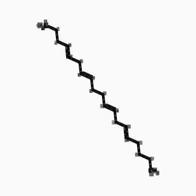 [CH2]CC/C=C/C/C=C/CC/C=C/C/C=C/CCCC